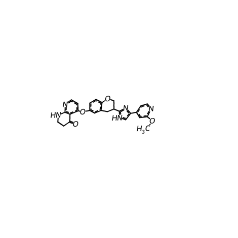 COc1cc(-c2c[nH]c(C3COc4ccc(Oc5ccnc6c5C(=O)CCN6)cc4C3)n2)ccn1